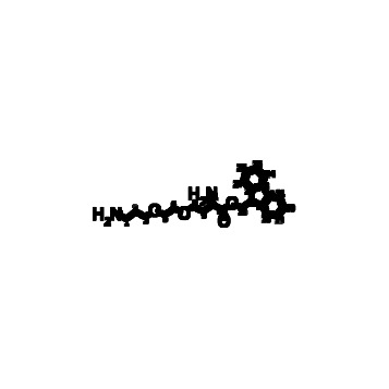 NCCCOCCOCCC(N)C(=O)OCC1c2ccccc2-c2ccccc21